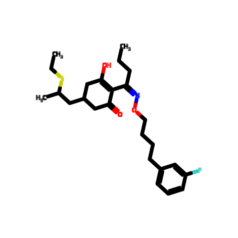 CCCC(=NOCCCCc1cccc(F)c1)C1=C(O)CC(CC(C)SCC)CC1=O